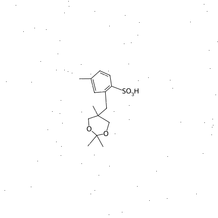 Cc1ccc(S(=O)(=O)O)c(CC2(C)COC(C)(C)OC2)c1